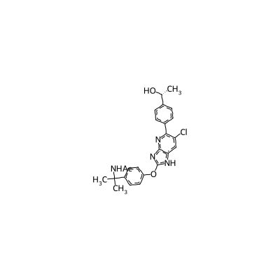 CC(=O)NC(C)(C)c1ccc(Oc2nc3nc(-c4ccc([C@@H](C)O)cc4)c(Cl)cc3[nH]2)cc1